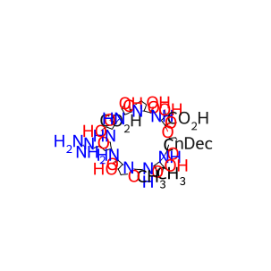 CCCCCCCCCCCC1CC(=O)NC(C(C)O)C(=O)NC(C)C(=O)N2CCC(O)C2C(=O)NC(CCCN=C(N)N)C(=O)NC(C(O)C(=O)O)C(=O)NC(CO)C(=O)N2CCC(O)C2C(=O)NC(C(O)C(=O)O)C(=O)O1